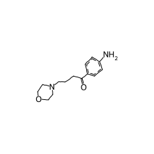 Nc1ccc(C(=O)CCCN2CCOCC2)cc1